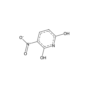 O=[N+]([O-])c1ccc(O)nc1O